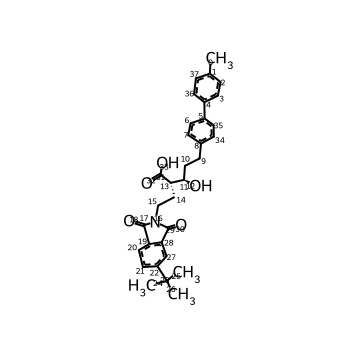 Cc1ccc(-c2ccc(CC[C@@H](O)[C@H](CCN3C(=O)c4ccc(C(C)(C)C)cc4C3=O)C(=O)O)cc2)cc1